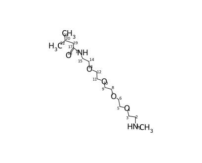 CNCCOCCOCCOCCOCCNC(=O)CC(C)C